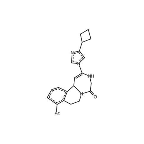 CC(=O)c1cccc2c1CCN1C(=O)CNC(n3cnc(C4CCC4)c3)=CC21